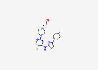 OCCN1CCN(c2ncc(F)c(Nc3nc(-c4ccc(Cl)cc4)cs3)n2)CC1